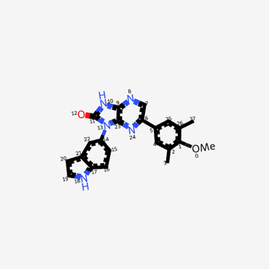 COc1c(C)cc(-c2cnc3[nH]c(=O)n(-c4ccc5[nH]ccc5c4)c3n2)cc1C